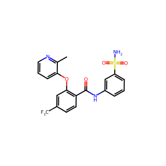 Cc1ncccc1Oc1cc(C(F)(F)F)ccc1C(=O)Nc1cccc(S(N)(=O)=O)c1